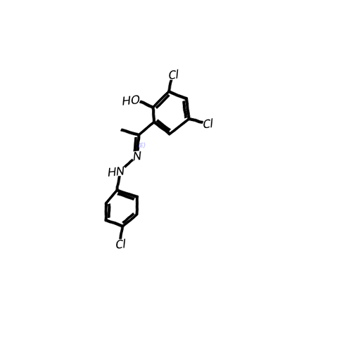 C/C(=N\Nc1ccc(Cl)cc1)c1cc(Cl)cc(Cl)c1O